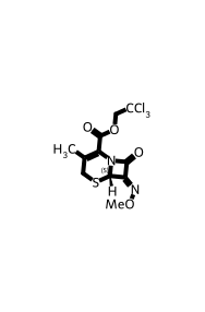 CON=C1C(=O)N2C(C(=O)OCC(Cl)(Cl)Cl)=C(C)CS[C@@H]12